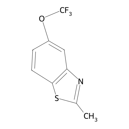 Cc1nc2cc(OC(F)(F)F)ccc2s1